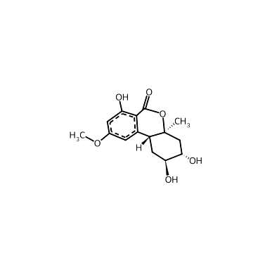 COc1cc(O)c2c(c1)[C@H]1C[C@H](O)[C@@H](O)C[C@]1(C)OC2=O